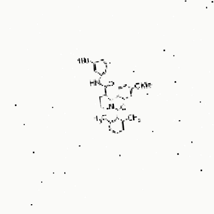 COC1=CCC([C@H]2C(C(=O)Nc3cccc(C(C)(C)C)c3)CCCN2C(=O)c2c(C)cccc2C)C=C1